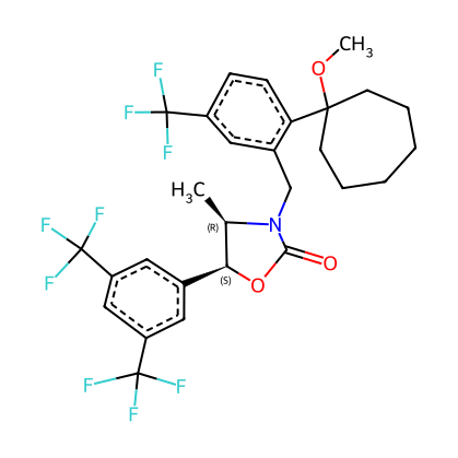 COC1(c2ccc(C(F)(F)F)cc2CN2C(=O)O[C@@H](c3cc(C(F)(F)F)cc(C(F)(F)F)c3)[C@H]2C)CCCCCC1